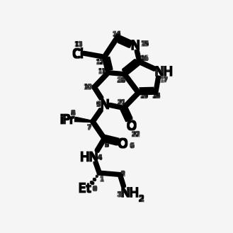 CC[C@@H](CN)NC(=O)[C@@H](C(C)C)N1Cc2c(Cl)cnc3[nH]cc(c23)C1=O